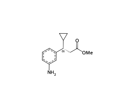 COC(=O)C[C@H](c1cccc(N)c1)C1CC1